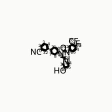 N#Cc1cccc([C@H]2CC[C@H](N(CCN3CC[C@H](O)C3)C(=O)Nc3ccc(F)c(C(F)(F)F)c3)CC2)c1